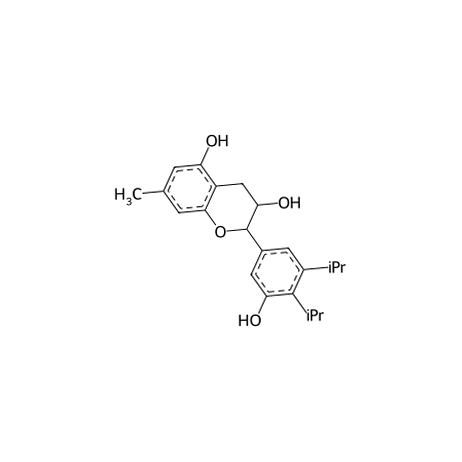 Cc1cc(O)c2c(c1)OC(c1cc(O)c(C(C)C)c(C(C)C)c1)C(O)C2